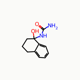 NC(=O)NC1(O)CCCc2ccccc21